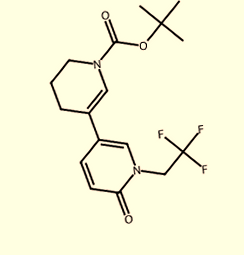 CC(C)(C)OC(=O)N1C=C(c2ccc(=O)n(CC(F)(F)F)c2)CCC1